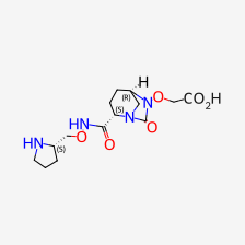 O=C(O)CON1C(=O)N2C[C@H]1CC[C@H]2C(=O)NOC[C@@H]1CCCN1